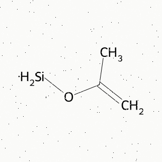 C=C(C)O[SiH2]